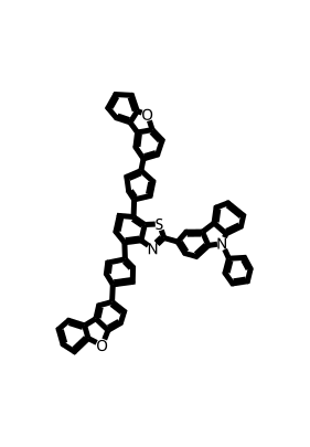 c1ccc(-n2c3ccccc3c3cc(-c4nc5c(-c6ccc(-c7ccc8oc9ccccc9c8c7)cc6)ccc(-c6ccc(-c7ccc8oc9ccccc9c8c7)cc6)c5s4)ccc32)cc1